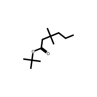 CCCC(C)(C)CC(=O)OC(C)(C)C